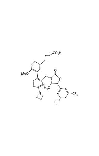 COc1ccc(C2CC(C(=O)O)C2)cc1-c1ccc(N2CCC2)nc1CN1C(=O)OC(c2cc(C(F)(F)F)cc(C(F)(F)F)c2)C1C